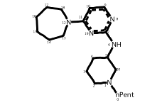 CCCCCN1CCCC(Nc2nccc(N3CCCCCC3)n2)C1